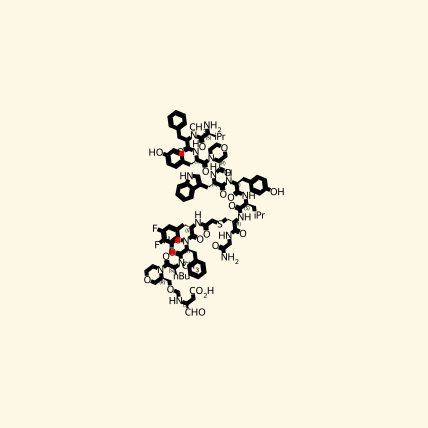 CCCC[C@@H](C(=O)N1CCOC[C@@H]1COCN[C@H](C=O)CC(=O)O)N(C)C(=O)[C@H](Cc1ccccc1)N(C)C(=O)[C@H](Cc1cc(F)c(F)c(F)c1)NC(=O)CSC[C@H](NC(=O)[C@H](CC(C)C)NC(=O)[C@H](Cc1ccc(O)cc1)NC(=O)[C@H](Cc1c[nH]c2ccccc12)NC(=O)[C@H]1COCCN1C(=O)[C@H](Cc1ccc(O)cc1)NC(=O)C(Cc1ccccc1)N(C)C(=O)[C@@H](N)C(C)C)C(=O)NCC(N)=O